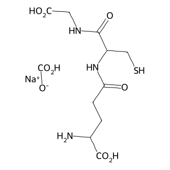 NC(CCC(=O)NC(CS)C(=O)NCC(=O)O)C(=O)O.O=C([O-])O.[Na+]